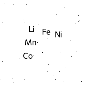 [Co].[Fe].[Li].[Mn].[Ni]